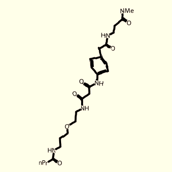 CCCC(=O)NCCCOCCNC(=O)CC(=O)Nc1ccc(CC(=O)NCCC(=O)NC)cc1